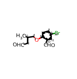 CC(CC=O)COc1ccc(Br)cc1C=O